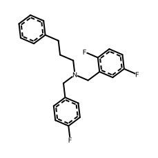 Fc1ccc(CN(CCCc2ccccc2)Cc2cc(F)ccc2F)cc1